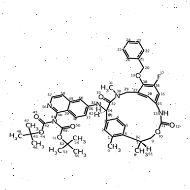 Cc1cc2ccc1[C@@H](C)COC(=O)Nc1cc(F)c(OCc3ccccc3)c(c1)CN(C)C(=O)[C@@H]2Nc1ccc2c(N(C(=O)OC(C)(C)C)C(=O)OC(C)(C)C)nccc2c1